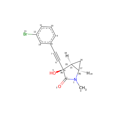 CN1C(=O)[C@](O)(C#Cc2cccc(Br)c2)[C@H]2C[C@H]21